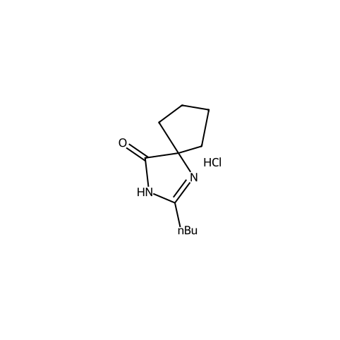 CCCCC1=NC2(CCCC2)C(=O)N1.Cl